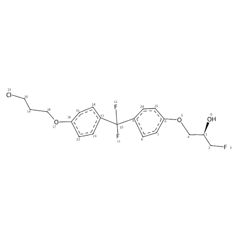 O[C@@H](CF)COc1ccc(C(F)(F)c2ccc(OCCCCl)cc2)cc1